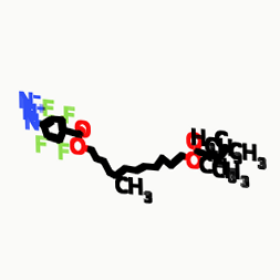 CC(CCCCCCCOC(=O)C(C)(C)C(C)C(C)C)CCCCOC(=O)c1c(F)c(F)c(N=[N+]=[N-])c(F)c1F